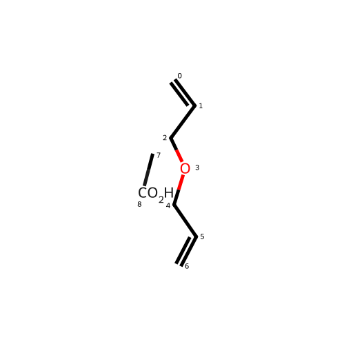 C=CCOCC=C.CC(=O)O